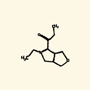 CCC(=O)C1C2COCC2CN1CC